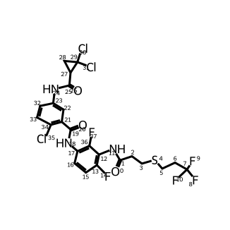 O=C(CCSCCC(F)(F)F)Nc1c(F)ccc(NC(=O)c2cc(NC(=O)C3CC3(Cl)Cl)ccc2Cl)c1F